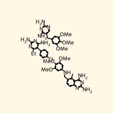 CCc1nc(N)nc(N)c1-c1ccc(Cl)cc1.COc1cc(Cc2cnc(N)nc2N)cc(OC)c1OC.COc1cc(NCc2ccc3nc(N)nc(N)c3c2C)cc(OC)c1OC